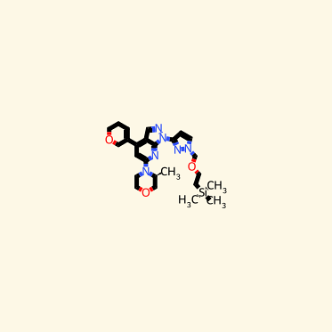 C[C@@H]1COCCN1c1cc(C2=CCCOC2)c2cnn(-c3ccn(COCC[Si](C)(C)C)n3)c2n1